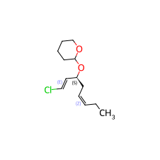 CC/C=C\C[C@@H](/C=C/Cl)OC1CCCCO1